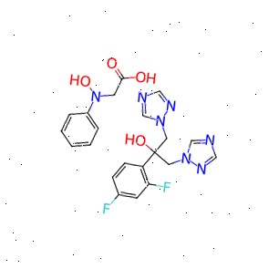 O=C(O)CN(O)c1ccccc1.OC(Cn1cncn1)(Cn1cncn1)c1ccc(F)cc1F